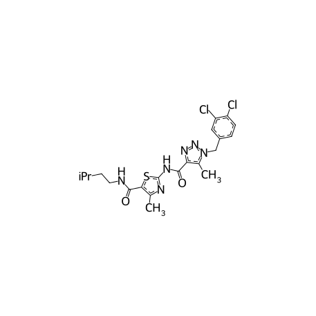 Cc1nc(NC(=O)c2nnn(Cc3ccc(Cl)c(Cl)c3)c2C)sc1C(=O)NCCC(C)C